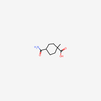 CC1(C(=O)O)CCC(C(N)=O)CC1